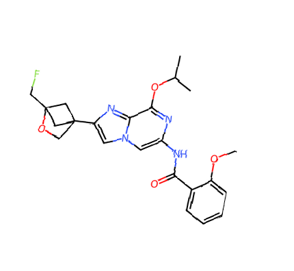 COc1ccccc1C(=O)Nc1cn2cc(C34COC(CF)(C3)C4)nc2c(OC(C)C)n1